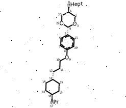 CCCCCCC[C@H]1CO[C@H](c2ccc(OCCC[C@H]3CC[C@H](CCC)CC3)cc2)OC1